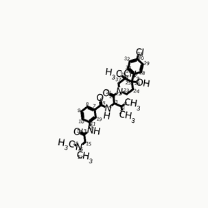 CC(C)C(NC(=O)c1cccc(NC(=O)CN(C)C)c1)C(=O)N1CCC(O)(c2ccc(Cl)cc2)C(C)(C)C1